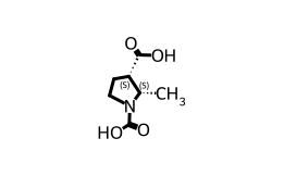 C[C@H]1[C@@H](C(=O)O)CCN1C(=O)O